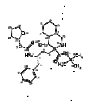 CC(C)(C)NC(=O)C1(C[C@@H](O)[C@H](Cc2ccccc2)NC(=O)OC2CCCO2)CC2CCCCC2CN1